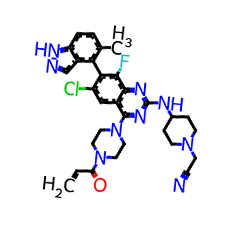 C=CC(=O)N1CCN(c2nc(NC3CCN(CC#N)CC3)nc3c(F)c(-c4c(C)ccc5[nH]ncc45)c(Cl)cc23)CC1